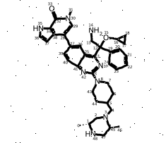 C[C@@H]1CN(CC2CCN(c3nc(C(CN)(OC4CC4)c4ccccc4)c4cc(-c5cn(C)c(=O)c6[nH]ccc56)ccc4n3)CC2)[C@@H](C)CN1